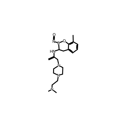 C=C(CN1CCN(CCN(C)C)CC1)NC1Cc2cccc(C)c2OB1N=O